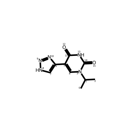 CC(C)n1cc(-c2c[nH]nn2)c(=O)[nH]c1=O